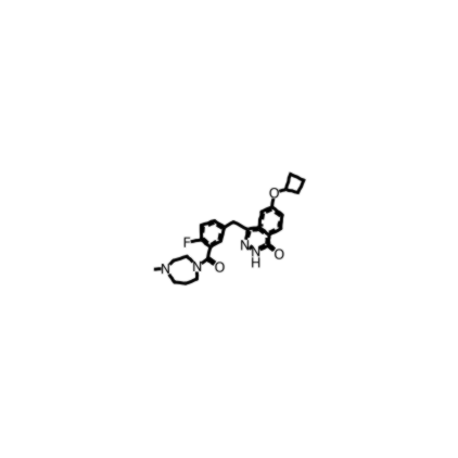 CN1CCCN(C(=O)c2cc(Cc3n[nH]c(=O)c4ccc(OC5CCC5)cc34)ccc2F)CC1